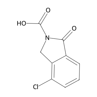 O=C(O)N1Cc2c(Cl)cccc2C1=O